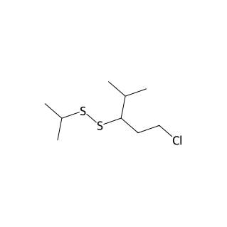 CC(C)SSC(CCCl)C(C)C